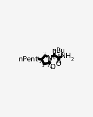 CCCCCC1CC(=O)N(C(CCCC)C(N)=O)C1